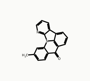 Cc1ccc2c(=O)c3cccc4c5cccnc5n(c2c1)c34